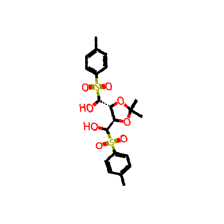 Cc1ccc(S(=O)(=O)C(O)[C@@H]2OC(C)(C)O[C@H]2C(O)S(=O)(=O)c2ccc(C)cc2)cc1